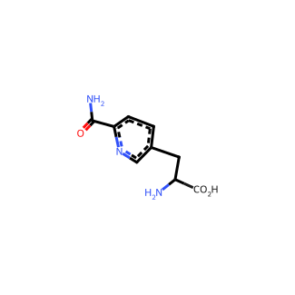 NC(=O)c1ccc(CC(N)C(=O)O)cn1